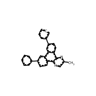 Cc1cnc2c3ccc(-c4ccccc4)cc3c3cc(-c4ccccc4)ccc3c2n1